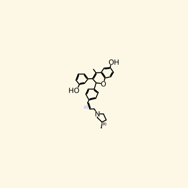 CC1=C(c2cccc(O)c2)C(c2ccc(/C=C\CN3CC[C@@H](C)C3)cc2)Oc2ccc(O)cc21